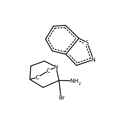 NC1(Br)CC2CCN1CC2.c1ccc2sncc2c1